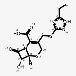 CCc1nc(SCC2=C(C(=O)O)N3C(=O)[C@@H](O)[C@H]3SC2)n[nH]1